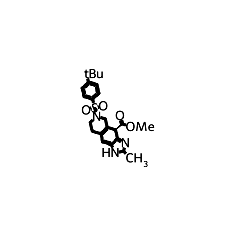 COC(=O)[C@H]1C2=NC(C)NC2=CC2=C1CN(S(=O)(=O)c1ccc(C(C)(C)C)cc1)CC2